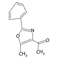 CC(=O)c1nc(-c2ccccc2)oc1C